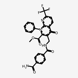 COC(=O)c1c(CNC(=O)c2ccc(C(N)=O)cc2)c(=O)c2ccc(C(F)(F)F)nc2n1-c1ccccc1